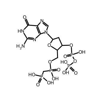 Nc1nc2c(ncn2C2CC(OP(=O)(O)OP(=O)(O)O)C(COP(=O)(O)CP(=O)(O)O)O2)c(=O)[nH]1